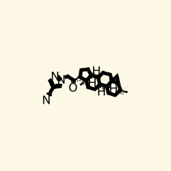 C[C@H]1CC[C@@H]2[C@H]3CC[C@]4(C)[C@@H](C(=O)Cn5cc(C#N)cn5)CC[C@H]4[C@@H]3CCC23CC13